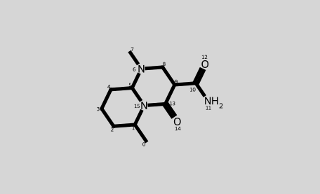 CC1CCCC2N(C)CC(C(N)=O)C(=O)N12